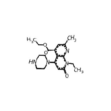 CCOC(=O)c1cc(C)nc2c1c(N1CCNCC1)cc(=O)n2CC